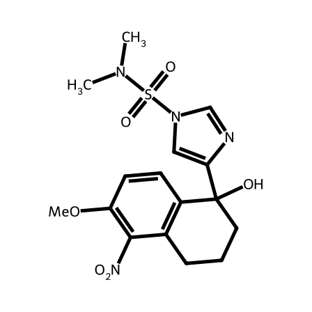 COc1ccc2c(c1[N+](=O)[O-])CCCC2(O)c1cn(S(=O)(=O)N(C)C)cn1